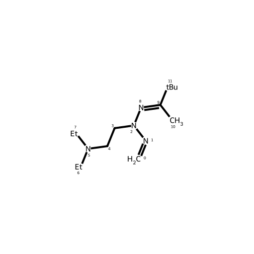 C=NN(CCN(CC)CC)/N=C(\C)C(C)(C)C